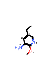 CCc1cnc(OC)c(N)c1